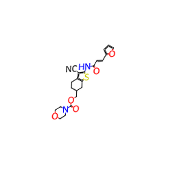 N#Cc1c(NC(=O)C=Cc2ccco2)sc2c1CCC(COC(=O)N1CCOCC1)C2